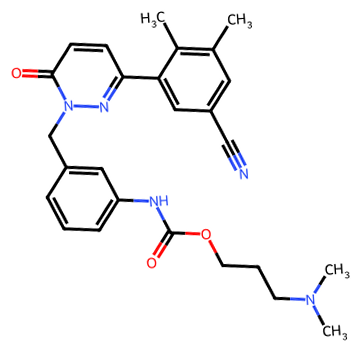 Cc1cc(C#N)cc(-c2ccc(=O)n(Cc3cccc(NC(=O)OCCCN(C)C)c3)n2)c1C